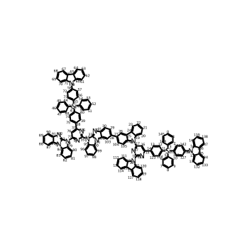 c1ccc([Si](c2ccccc2)(c2ccc(-c3cc(-n4c5ccccc5c5cc(-c6ccc7nc8n(-c9nc(-c%10ccc([Si](c%11ccccc%11)(c%11ccccc%11)c%11ccc(-n%12c%13ccccc%13c%13ccccc%13%12)cc%11)cc%10)cc(-n%10c%11ccccc%11n%11c%12ccccc%12nc%10%11)n9)c9ccccc9n8c7c6)ccc54)nc(-n4c5ccccc5c5ccccc54)n3)cc2)c2ccc(-n3c4ccccc4c4ccccc43)cc2)cc1